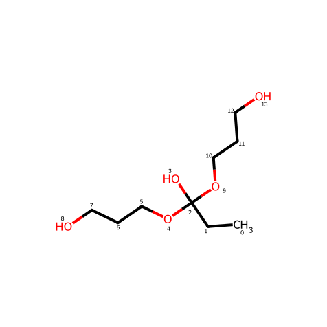 CCC(O)(OCCCO)OCCCO